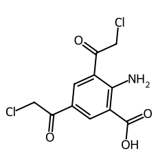 Nc1c(C(=O)O)cc(C(=O)CCl)cc1C(=O)CCl